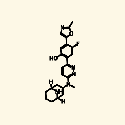 Cc1ncc(-c2cc(O)c(-c3ccc(N(C)[C@@H]4C[C@H]5CCC[C@@H](C4)N5)nn3)cc2F)o1